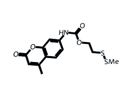 CSSCCOC(=O)Nc1ccc2c(C)cc(=O)oc2c1